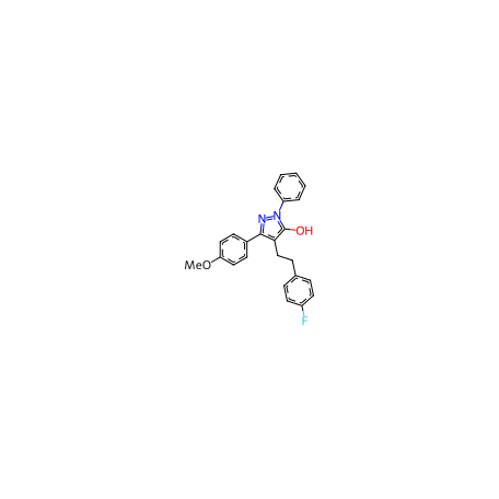 COc1ccc(-c2nn(-c3ccccc3)c(O)c2CCc2ccc(F)cc2)cc1